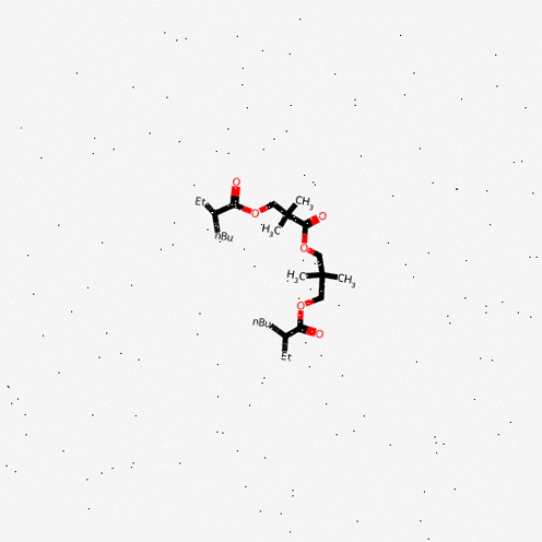 CCCCC(CC)C(=O)OCC(C)(C)COC(=O)C(C)(C)COC(=O)C(CC)CCCC